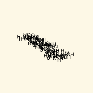 C[C@H](NC(=O)CNC(=O)[C@@H](N)CCCNC(=N)N)C(=O)N[C@@H](CC(=O)O)C(=O)N[C@@H](CCCNC(=N)N)C(=O)N[C@@H](C)C(=O)NCC(=O)NCC(=O)NCC(=O)NCC(=O)N1CCC[C@H]1C(=O)N[C@@H](CCCNC(=N)N)C(=O)N[C@@H](CS)C(=O)N[C@@H](Cc1c[nH]c2ccccc12)C(=O)N[C@@H](CS)C(=O)NCC(=O)N[C@@H](CCC(=O)O)C(=O)O